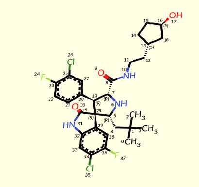 CC(C)(C)C[C@H]1N[C@@H](C(=O)NCC[C@@H]2CC[C@@H](O)C2)[C@H](c2ccc(F)c(Cl)c2)[C@@]12C(=O)Nc1cc(Cl)c(F)cc12